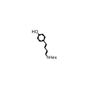 CCCCCCC=CC=Cc1ccc(O)cc1